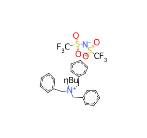 CCCC[N+](Cc1ccccc1)(Cc1ccccc1)Cc1ccccc1.O=S(=O)([N-]S(=O)(=O)C(F)(F)F)C(F)(F)F